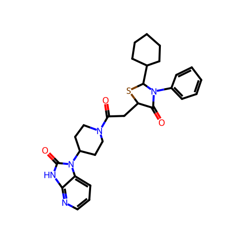 O=C(CC1SC(C2CCCCC2)N(c2ccccc2)C1=O)N1CCC(n2c(=O)[nH]c3ncccc32)CC1